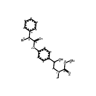 CN(CC(O)c1ccc(OC(=O)C(Br)c2ccccc2)cc1)C(=O)OC(C)(C)C